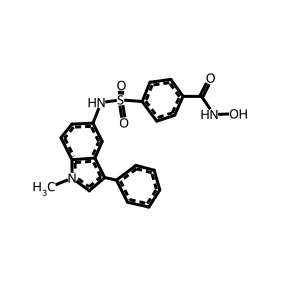 Cn1cc(-c2ccccc2)c2cc(NS(=O)(=O)c3ccc(C(=O)NO)cc3)ccc21